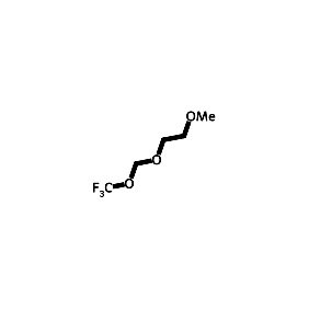 COCCOCOC(F)(F)F